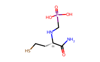 NC(=O)[C@H](CCS)NCP(=O)(O)O